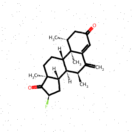 C=C1C2=CC(=O)C[C@@H](C)[C@]2(C)[C@H]2CC[C@]3(C)C(=O)[C@H](F)C[C@H]3[C@@H]2[C@@H]1C